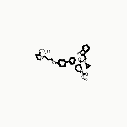 CC(C)OC(=O)N1CC[C@H](c2cccc(-c3ccc(OCCCN4CCCC4C(=O)O)cc3)c2)[C@@H](C(=O)N(Cc2c[nH]c3ccccc23)C2CC2)C1